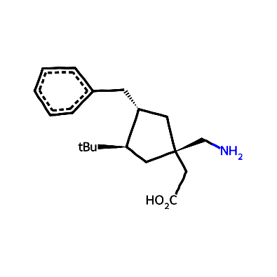 CC(C)(C)[C@@H]1C[C@@](CN)(CC(=O)O)C[C@H]1Cc1ccccc1